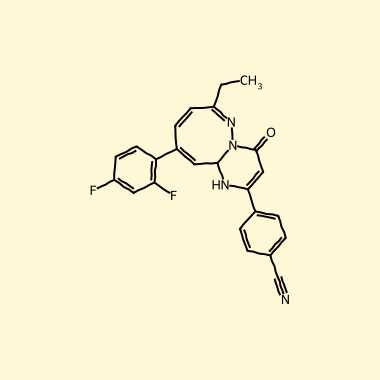 CCC1=NN2C(=O)C=C(c3ccc(C#N)cc3)NC2C=C(c2ccc(F)cc2F)C=C1